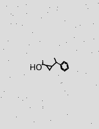 CC(O)C1CC1C(C)c1ccccc1